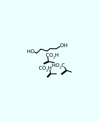 C=C(C)C(=O)O.C=C(C)C(=O)O.C=C(C)C(=O)O.OCCCCCO